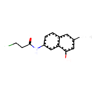 O=C(CCCl)Nc1ccc2cc(S(=O)(=O)O)cc(O)c2c1